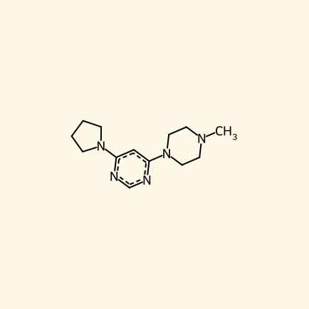 CN1CCN(c2cc(N3CCCC3)ncn2)CC1